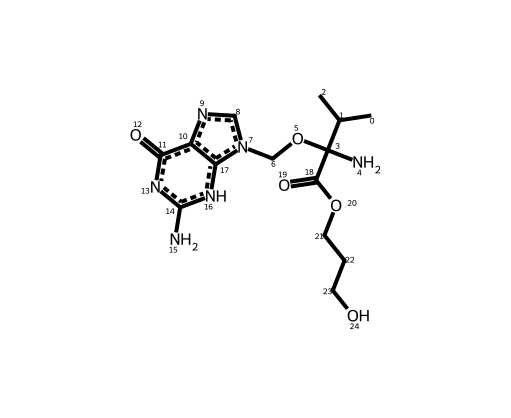 CC(C)C(N)(OCn1cnc2c(=O)nc(N)[nH]c21)C(=O)OCCCO